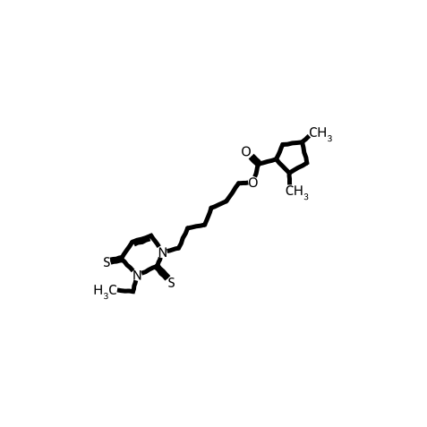 CCn1c(=S)ccn(CCCCCCOC(=O)C2CC(C)CC2C)c1=S